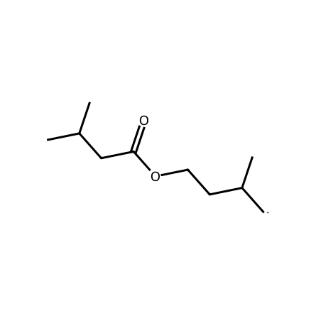 [CH2]C(C)CCOC(=O)CC(C)C